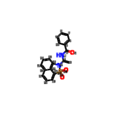 C=C(NC(=O)c1ccccc1)N1c2cccc3cccc(c23)S1(=O)=O